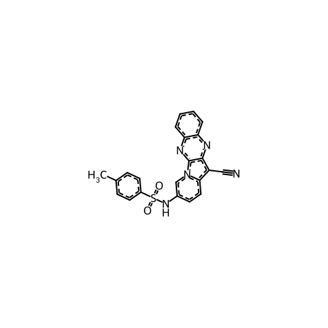 Cc1ccc(S(=O)(=O)Nc2ccc3c(C#N)c4nc5ccccc5nc4n3c2)cc1